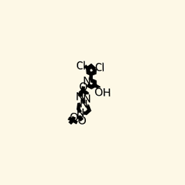 CC(C)(C)OC(=O)N1CCCN(c2ncc(Oc3cc(CO)cc(-c4cc(Cl)cc(Cl)c4)n3)cn2)CC1